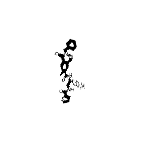 Cc1cc2c(=O)n(Cc3ccccc3)ncc2cc1C(=O)N[C@@H](CNC(=O)c1cccs1)C(=O)O